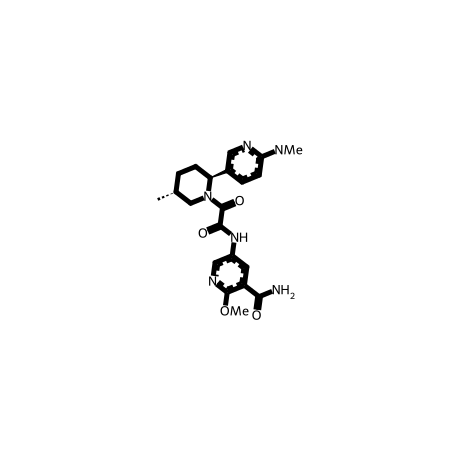 CNc1ccc([C@@H]2CC[C@@H](C)CN2C(=O)C(=O)Nc2cnc(OC)c(C(N)=O)c2)cn1